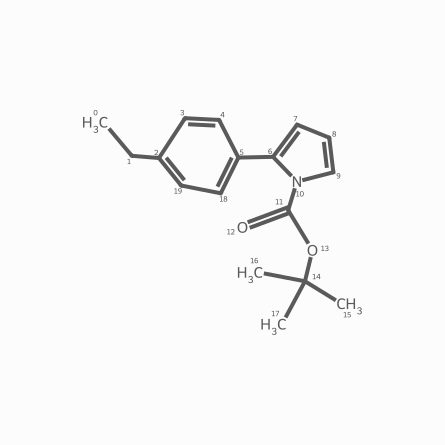 CCc1ccc(-c2cccn2C(=O)OC(C)(C)C)cc1